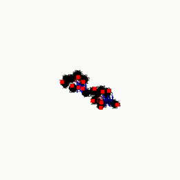 c1ccc(-c2nc(-c3cccc(-c4ccc5c(c4)c(-c4cccc6c4oc4c(-c7nc(-c8ccccc8)nc(-c8ccccc8)n7)cccc46)cc4ccccc45)c3)nc(-c3cccc4c3oc3c(-c5ccc6c(ccc7ccccc76)c5)cccc34)n2)cc1